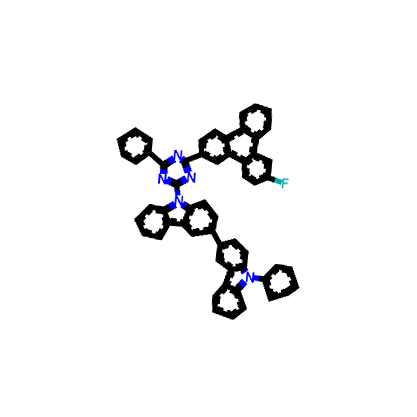 Fc1ccc2c(c1)c1ccccc1c1ccc(-c3nc(-c4ccccc4)nc(-n4c5ccccc5c5cc(-c6ccc7c(c6)c6ccccc6n7-c6ccccc6)ccc54)n3)cc12